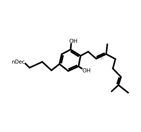 CCCCCCCCCCCCCc1cc(O)c(C/C=C(\C)CCC=C(C)C)c(O)c1